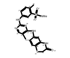 CNS(=O)(=O)c1cc(Nc2ncc(C)c(Nc3ccc4c(c3)NC(=O)CS4)n2)ccc1C